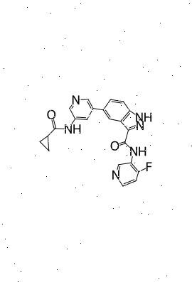 O=C(Nc1cnccc1F)c1n[nH]c2ccc(-c3cncc(NC(=O)C4CC4)c3)cc12